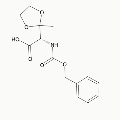 CC1([C@H](NC(=O)OCc2ccccc2)C(=O)O)OCCO1